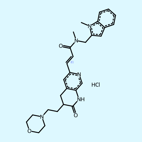 CN(Cc1cc2ccccc2n1C)C(=O)/C=C/c1cc2c(cn1)NC(=O)C(CCN1CCOCC1)C2.Cl